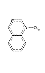 C[n+]1cncc2ccccc21